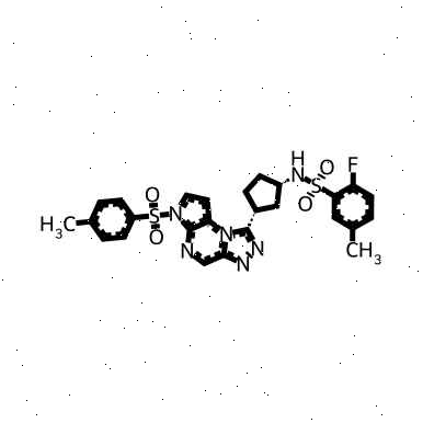 Cc1ccc(S(=O)(=O)n2ccc3c2ncc2nnc([C@@H]4CC[C@H](NS(=O)(=O)c5cc(C)ccc5F)C4)n23)cc1